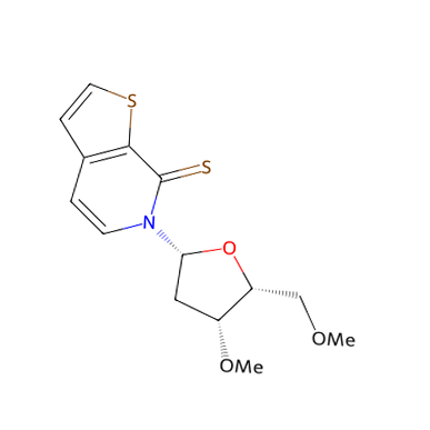 COC[C@H]1O[C@@H](n2ccc3ccsc3c2=S)C[C@H]1OC